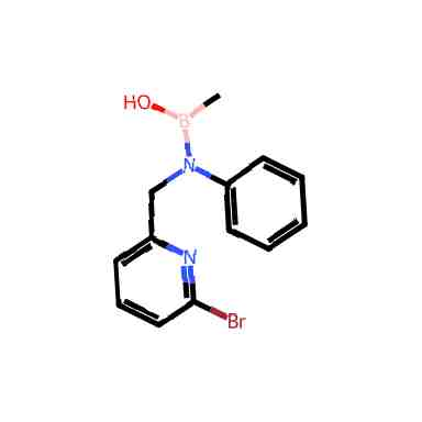 CB(O)N(Cc1cccc(Br)n1)c1ccccc1